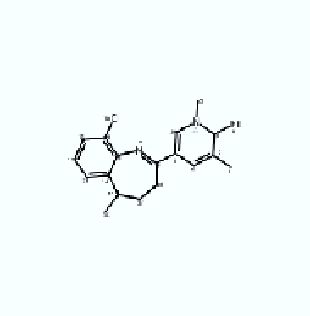 CCC1C(C)=CC(C2=Nc3c(Cl)cccc3C(C)CC2)=CN1C